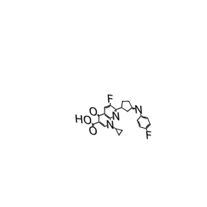 O=C(O)c1cn(C2CC2)c2nc(C3CCC(=Nc4ccc(F)cc4)C3)c(F)cc2c1=O